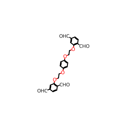 O=Cc1ccc(C=O)c(OCCOc2ccc(OCCOc3cc(C=O)ccc3C=O)cc2)c1